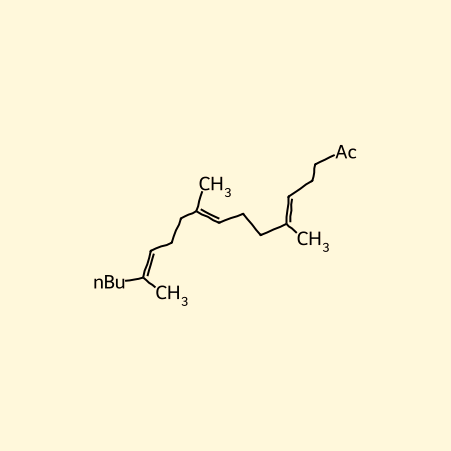 CCCCC(C)=CCCC(C)=CCCC(C)=CCCC(C)=O